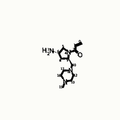 C=CC(=O)N1C[C@@H](N)C[C@@H]1CN1CCN(C)CC1